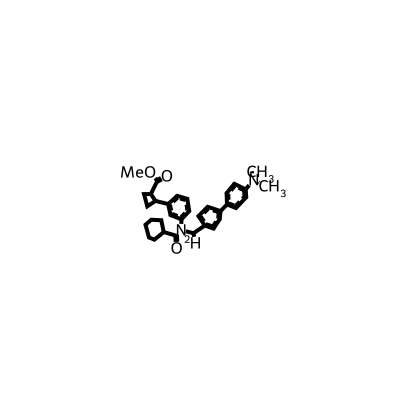 [2H]C(c1ccc(-c2ccc(N(C)C)cc2)cc1)N(C(=O)C1CCCCC1)c1cccc(C2CCC2C(=O)OC)c1